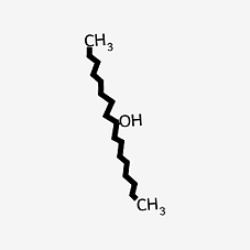 CCCCCCCCC(O)CCCCCCCC